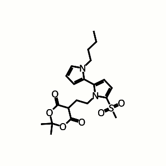 CCCCn1cccc1-c1ccc(S(C)(=O)=O)n1CCC1C(=O)OC(C)(C)OC1=O